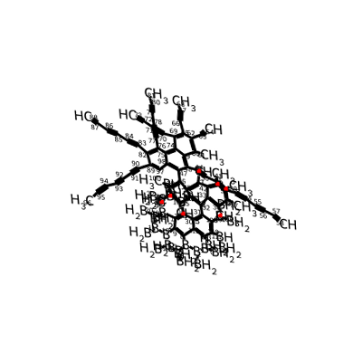 BBB(B)B(B(B)B)c1c(B(B(B)B)B(B)B)c(B(BB)B(B)B)c(B(B)B(B)B)c2c(-c3c4c(C)c(C)c(C)c(C)c4c(C)c4c(-c5c(C#CC#CC#CC#CC#C)c6c(C)c(C#C)c(C#CC)c(C#CC#C)c6c6c(C#CC#CC)c(C#CC#CC#C)c(C#CC#CC#CC)cc56)c(C)c(C)c(C)c34)c(B(B)B)c(BB)c(B)c12